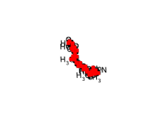 C[C@H]1CN(c2ccc3c(c2)C(=O)N(C2CCC(=O)NC2O)C3=O)CCN1CC1CCN(c2ccc(C(=O)NC3C(C)(C)[C@@H]4Oc5ccc(C#N)c6nccc(c56)C34C)cc2)CC1